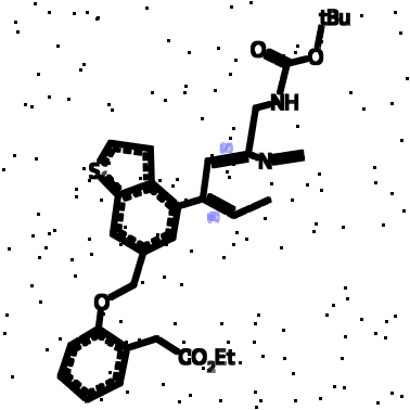 C=N/C(=C\C(=C/C)c1cc(COc2ccccc2CC(=O)OCC)cc2sccc12)CNC(=O)OC(C)(C)C